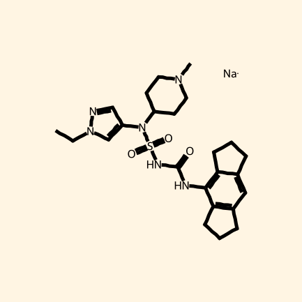 CCn1cc(N(C2CCN(C)CC2)S(=O)(=O)NC(=O)Nc2c3c(cc4c2CCC4)CCC3)cn1.[Na]